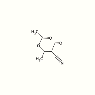 CC(=O)OC(C)C(C#N)C=O